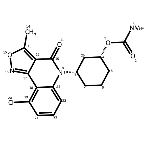 CNC(=O)O[C@@H]1CCC[C@H](n2c(=O)c3c(C)onc3c3c(Cl)cccc32)C1